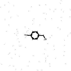 [18F]c1ccc(CBr)cc1